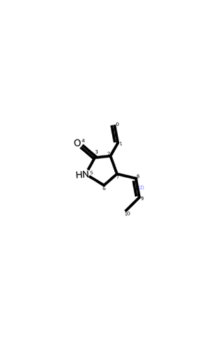 C=CC1C(=O)NCC1/C=C\C